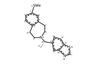 CSc1ccc2c(c1)CCN([C@@H](C)c1ccc3scnc3c1)CC2